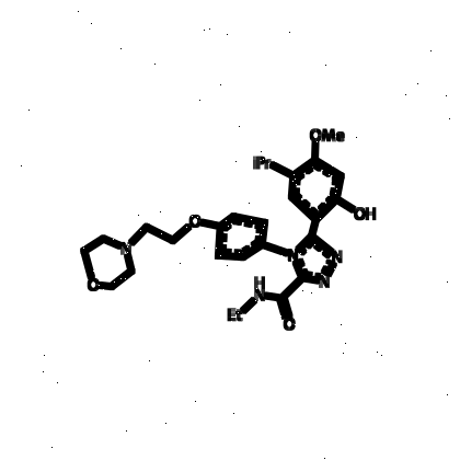 CCNC(=O)c1nnc(-c2cc(C(C)C)c(OC)cc2O)n1-c1ccc(OCCN2CCOCC2)cc1